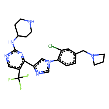 FC(F)(F)c1cnc(NC2CCNCC2)nc1-c1cn(-c2ccc(CN3CCC3)cc2Cl)cn1